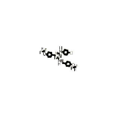 FC(F)(F)Oc1ccc(/C=N/Nc2nc(Nc3ccc(Cl)cc3)nc(-c3ccc(OC(F)(F)F)cc3)n2)cc1